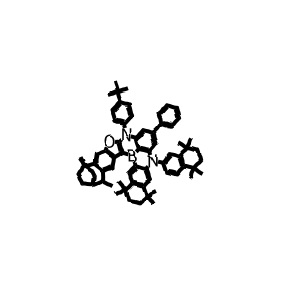 CC1c2cc3c4c(oc3cc2C2(C)CCC1CC2)N(c1ccc(C(C)(C)C)cc1)c1cc(-c2ccccc2)cc2c1B4c1cc3c(cc1N2c1ccc2c(c1)C(C)(C)CCC2(C)C)C(C)(C)CCC3(C)C